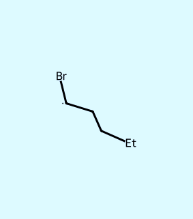 CCCC[CH]Br